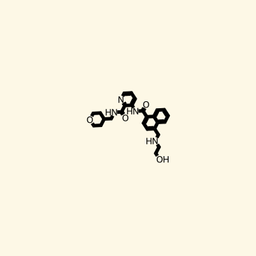 O=C(NCC1CCOCC1)c1ncccc1NC(=O)c1ccc(CNCCO)c2ccccc12